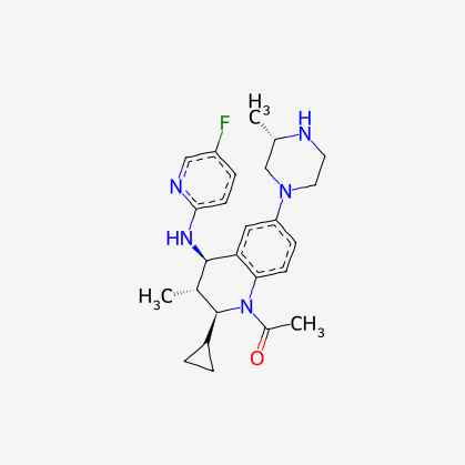 CC(=O)N1c2ccc(N3CCN[C@@H](C)C3)cc2[C@H](Nc2ccc(F)cn2)[C@@H](C)[C@@H]1C1CC1